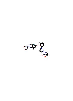 COC[C@H]1N(c2cccc(-c3cccc(C)c3OCc3cc(C)c4c(c3F)CCN(C3CCOCC3)C4)n2)C[C@@H]2C[C@@]21C(=O)O